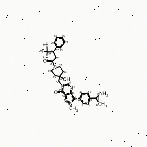 CC(N)c1ccc(-c2c3ncn(CC4(O)CCN(C(=O)CC(c5ccccc5)C(F)(F)F)CC4)c(=O)c3nn2C)cc1